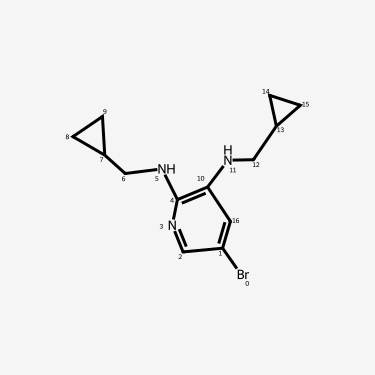 Brc1cnc(NCC2CC2)c(NCC2CC2)c1